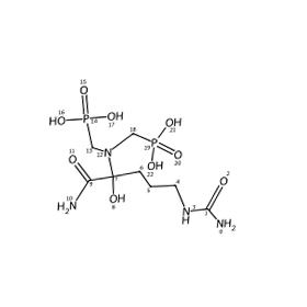 NC(=O)NCCCC(O)(C(N)=O)N(CP(=O)(O)O)CP(=O)(O)O